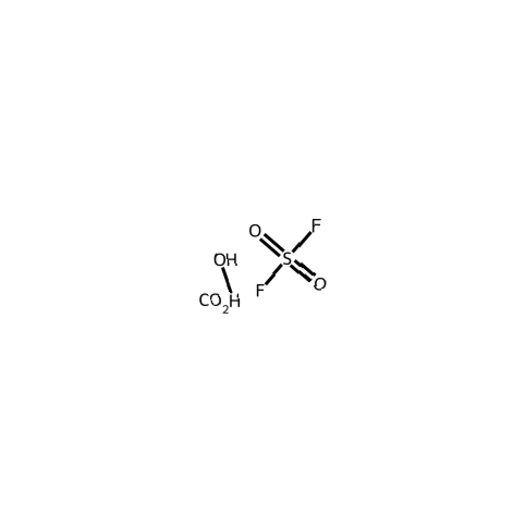 O=C(O)O.O=S(=O)(F)F